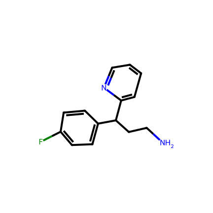 NCCC(c1ccc(F)cc1)c1ccccn1